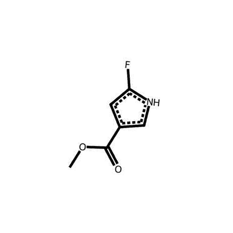 COC(=O)c1c[nH]c(F)c1